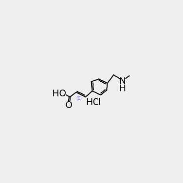 CNCc1ccc(/C=C/C(=O)O)cc1.Cl